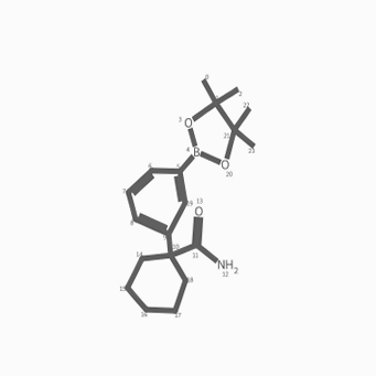 CC1(C)OB(c2cccc(C3(C(N)=O)CCCCC3)c2)OC1(C)C